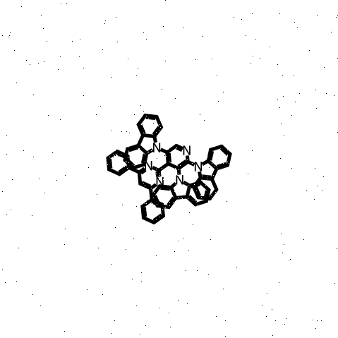 C1=Cc2c(c3ccccc3n2-c2ncc(-n3c4ccccc4c4ccccc43)c(-c3nc(-c4ccccc4)cc(-c4ccccc4)n3)c2-n2c3ccccc3c3ccccc32)CC1